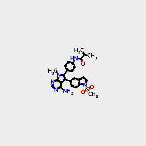 C=C(C)C(=O)Nc1ccc(-c2c(-c3ccc4c(ccn4S(C)(=O)=O)c3)c3c(N)ncnc3n2C)cc1